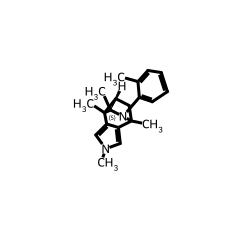 Cc1ccccc1N1[C@@H](C)C2(C)CCC1(C)c1cn(C)cc12